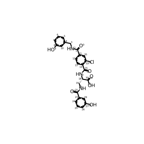 O=C(NCc1cccc(O)c1)c1ccc(C(=O)N[C@@H](CNC(=O)c2cccc(O)c2)C(=O)O)c(Cl)c1